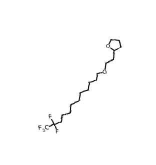 FC(F)(F)C(F)(F)CCCCCCCCCCOCCC1CCCO1